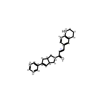 O=C(/C=C/c1cnc2c(c1)CCCN2)N1CC2C=C(c3cncnc3)CC2C1